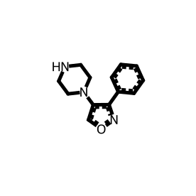 c1ccc(-c2nocc2N2CCNCC2)cc1